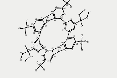 CCC(C)(CC)c1cc2nc(c1)c1cc(C(C)(C)C)cc3c4cc(C(C)(C)C)cc(c5cc(C(C)(CC)CC)cc(n5)c5cc(C(C)(C)C)cc6c7cc(C(C)(C)C)cc2c7[nH]c56)c4[nH]c13